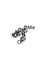 COc1ccc2c(c1)c(C(O)c1nc3cnccc3o1)cn2Cc1ccc(Cl)cc1